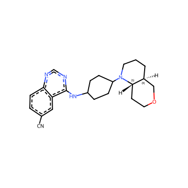 N#Cc1ccc2ncnc(NC3CCC(N4CCC[C@H]5COCC[C@@H]54)CC3)c2c1